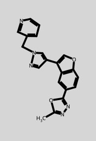 Cc1nnc(-c2ccc3occ(-c4cnn(Cc5cccnc5)c4)c3c2)o1